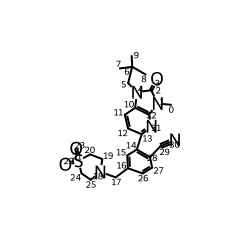 Cn1c(=O)n(CC(C)(C)C)c2ccc(-c3cc(CN4CCS(=O)(=O)CC4)ccc3C#N)nc21